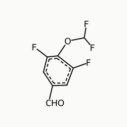 O=Cc1cc(F)c(OC(F)F)c(F)c1